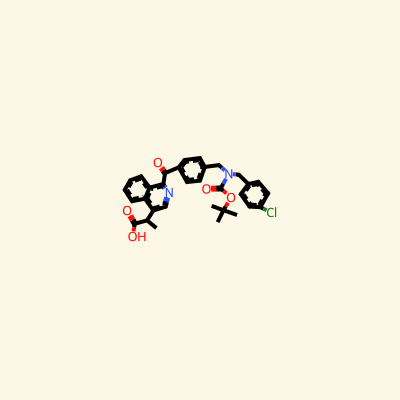 CC(C(=O)O)c1cnc(C(=O)c2ccc(CN(Cc3ccc(Cl)cc3)C(=O)OC(C)(C)C)cc2)c2ccccc12